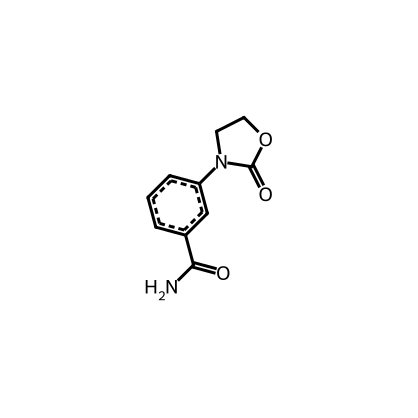 NC(=O)c1cccc(N2CCOC2=O)c1